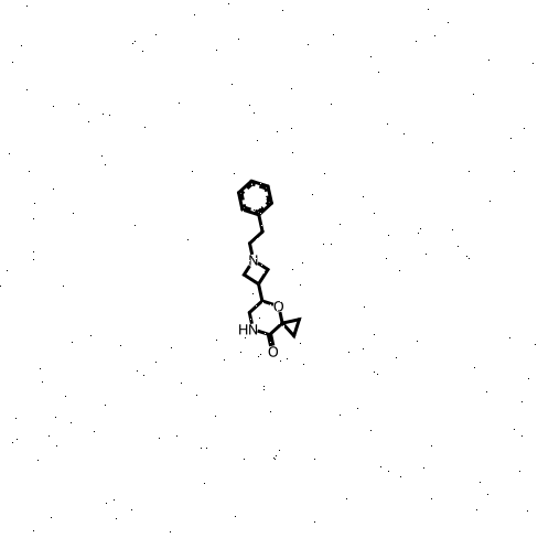 O=C1NCC(C2CN(CCc3ccccc3)C2)OC12CC2